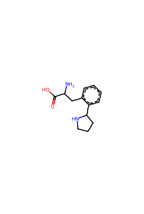 NC(Cc1ccccc1C1CCCN1)C(=O)O